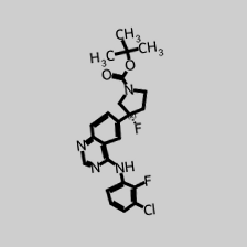 CC(C)(C)OC(=O)N1CC[C@@](F)(c2ccc3ncnc(Nc4cccc(Cl)c4F)c3c2)C1